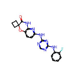 O=C1Nc2nc(Nc3ncnc(Nc4ccccc4F)n3)ccc2OC12CCC2